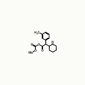 Cc1cccc(C(C(=O)OC(=O)OC(C)(C)C)C2CCCCN2)c1